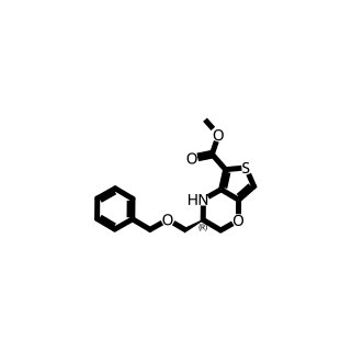 COC(=O)c1scc2c1N[C@H](COCc1ccccc1)CO2